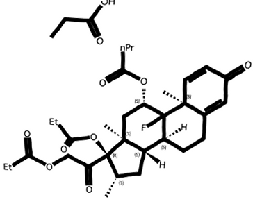 CCC(=O)O.CCCC(=O)O[C@H]1C[C@@]2(C)[C@@H](C[C@H](C)[C@]2(OC(=O)CC)C(=O)COC(=O)CC)[C@@H]2CCC3=CC(=O)C=C[C@]3(C)C12F